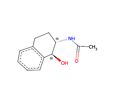 CC(=O)N[C@H]1CCc2ccccc2[C@@H]1O